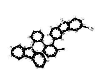 Cc1cccc(-c2ccccc2-n2c3ccccc3c3ccccc32)c1-c1ccc2sc3ccc(C#N)cc3c2c1